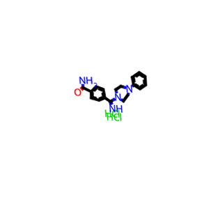 Cl.Cl.N=C(c1ccc(C(N)=O)cc1)N1CCN(c2ccccc2)CC1